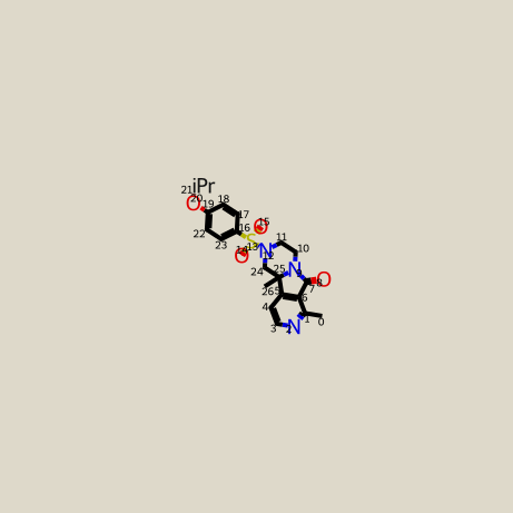 Cc1nccc2c1C(=O)N1CCN(S(=O)(=O)c3ccc(OC(C)C)cc3)CC21C